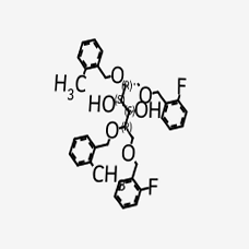 Cc1ccccc1CO[C@H](COCc1ccccc1F)[C@@H](O)[C@H](O)[C@@H](COCc1ccccc1F)OCc1ccccc1C